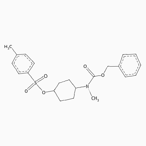 Cc1ccc(S(=O)(=O)OC2CCC(N(C)C(=O)OCc3ccccc3)CC2)cc1